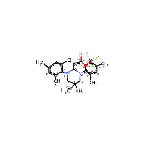 Cc1cc(C)c(N2CC(C)(C)CN(c3c(C)cc(C)cc3C)C2CC(=O)OC(F)(F)F)c(C)c1